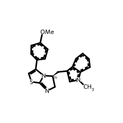 COc1ccc(C2=CSC3=NC[C@H](Cc4cn(C)c5ccccc45)N23)cc1